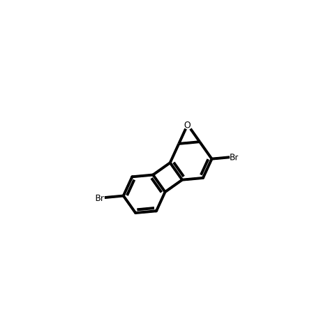 BrC1=CC2=C(c3cc(Br)ccc32)C2OC12